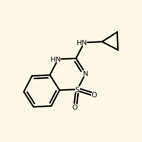 O=S1(=O)N=C(NC2CC2)Nc2ccccc21